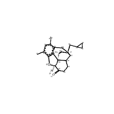 Cc1cc(Br)c2c3c1O[C@@H]1C(=O)CCC4C(C2)N(CC2CC2)CC[C@]341